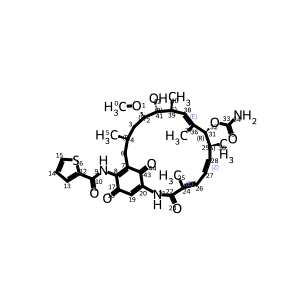 CO[C@H]1C[C@H](C)CC2=C(NC(=O)c3cccs3)C(=O)C=C(NC(=O)/C(C)=C/C=C\[C@H](C)[C@@H](OC(N)=O)/C(C)=C/[C@H](C)[C@H]1O)C2=O